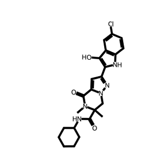 CN1C(=O)c2cc(-c3[nH]c4ccc(Cl)cc4c3O)nn2CC1(C)C(=O)NC1CCCCC1